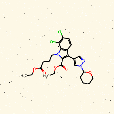 CCOC(=O)CCCn1c(C(=O)OCC)c(-c2cnn(C3CCCCO3)c2)c2ccc(Cl)c(Cl)c21